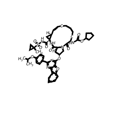 CC(C)Oc1ccc(-c2nc(O[C@@H]3C[C@H]4C(=O)N[C@]5(C(=O)NS(=O)(=O)C6(C)CC6)C[C@H]5/C=C\CCCCC[C@H](NC(=O)OC5CCCC5)C(=O)N4C3)c3oc4ccccc4c3n2)cc1